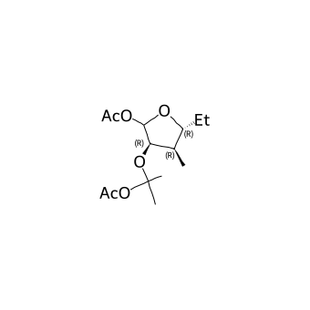 CC[C@H]1OC(OC(C)=O)[C@H](OC(C)(C)OC(C)=O)[C@@H]1C